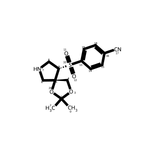 CC1(C)OC[C@]2(CNC[C@@H]2S(=O)(=O)c2ccc(C#N)cc2)O1